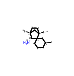 C[C@H]1CCCC2(C1)[C@H]1CC[C@H](C1)[C@H]2N